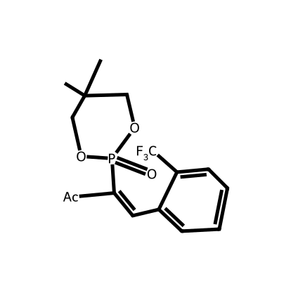 CC(=O)C(=Cc1ccccc1C(F)(F)F)P1(=O)OCC(C)(C)CO1